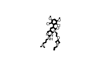 C=CCN1CC(OCCn2c(=O)c(-c3c(Cl)c(OC)cc(OC)c3Cl)cc3cnc(NCCCN(C)C)nc32)C1